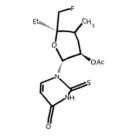 CC[C@@]1(CF)O[C@@H](n2ccc(=O)[nH]c2=S)[C@H](OC(C)=O)C1C